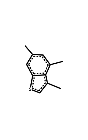 Cc1cc(C)c2c(C)[c]sc2c1